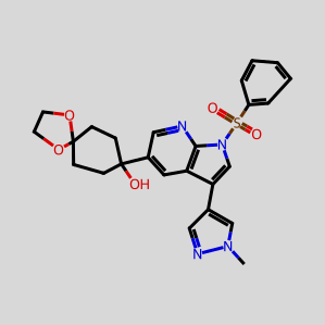 Cn1cc(-c2cn(S(=O)(=O)c3ccccc3)c3ncc(C4(O)CCC5(CC4)OCCO5)cc23)cn1